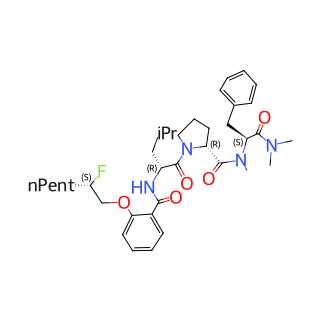 CCCCC[C@H](F)COc1ccccc1C(=O)N[C@H](CC(C)C)C(=O)N1CCC[C@@H]1C(=O)N(C)[C@@H](Cc1ccccc1)C(=O)N(C)C